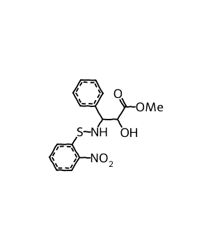 COC(=O)C(O)C(NSc1ccccc1[N+](=O)[O-])c1ccccc1